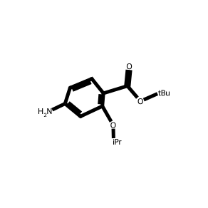 CC(C)Oc1cc(N)ccc1C(=O)OC(C)(C)C